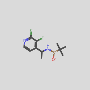 CC(N[S+]([O-])C(C)(C)C)c1ccnc(Cl)c1F